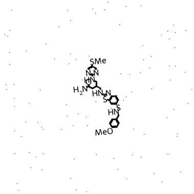 COc1ccc(CNSc2ccc3nc(NCC(CNc4ncc(SC)cn4)CC(N)=O)sc3c2)cc1